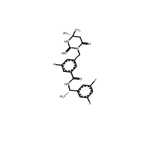 CC(C)[C@]1(C)CC(=O)N(Cc2cc(F)cc(C(=O)N[C@@H](C)c3cc(F)cc(F)c3)c2)C(=N)N1